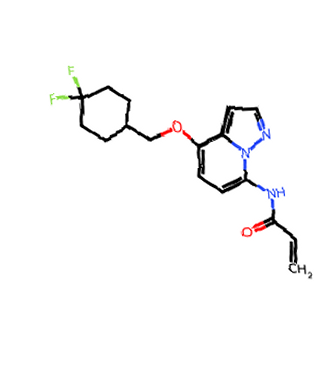 C=CC(=O)Nc1ccc(OCC2CCC(F)(F)CC2)c2ccnn12